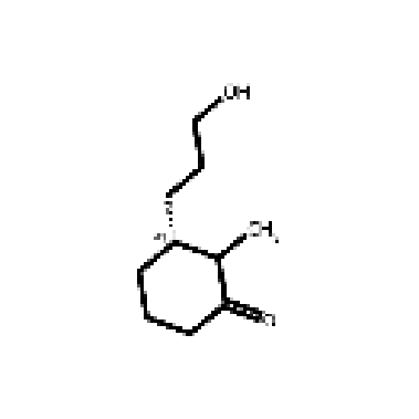 CC1C(=O)CCC[C@@H]1CCCO